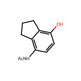 CC(=O)Nc1ccc(O)c2c1CCC2